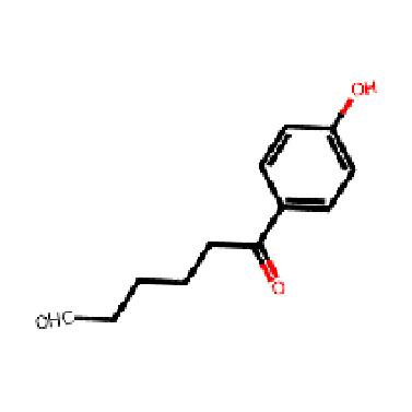 O=CCCCCC(=O)c1ccc(O)cc1